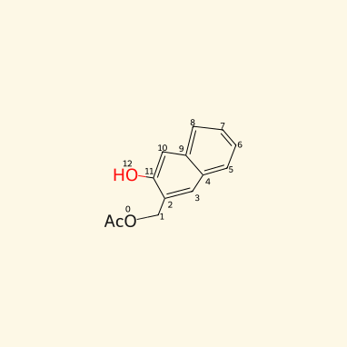 CC(=O)OCc1cc2ccccc2cc1O